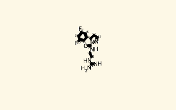 N=C(N)NCCNC(=O)N1N=CC[C@H]1c1cc(F)cc(F)c1